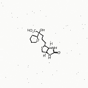 O=C1N[C@H]2[C@H](CS[C@H]2CCCC(O)(C(=O)O)C2CCCCO2)N1